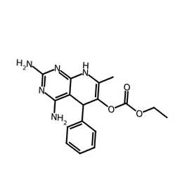 CCOC(=O)OC1=C(C)Nc2nc(N)nc(N)c2C1c1ccccc1